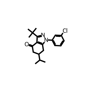 CC(C)C1CC(=O)c2c(C(C)(C)C)nn(-c3cccc(Cl)c3)c2C1